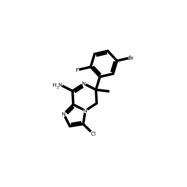 CC1(c2cc(Br)ccc2F)Cn2c(Cl)cnc2C(N)=N1